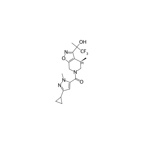 C[C@H]1CN(C(=O)c2cc(C3CC3)nn2C)Cc2onc(C(C)(O)C(F)(F)F)c21